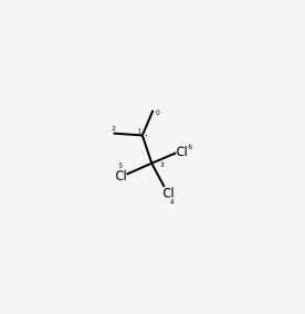 C[C](C)C(Cl)(Cl)Cl